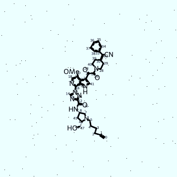 C#CCCCCN1C[C@@H](NC(=O)c2ncn(-c3ncc(OC)c4c(C(=O)C(=O)N5CCC(=C(C#N)c6ccccc6)CC5)c[nH]c34)n2)C[C@H]1CO